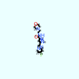 Cn1nc(C(=O)NCCN2CCOCC2)cc1-c1cn2ccc(F)cc2n1